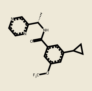 C[C@H](NC(=O)c1cc(OC(F)(F)F)cc(C2CC2)c1)c1cnccn1